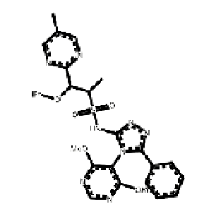 COc1ncnc(OC)c1-n1c(NS(=O)(=O)C(C)C(OC(C)C)c2ncc(C)cn2)nnc1-c1ccccc1